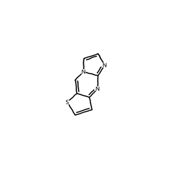 c1cn2cc3sccc3nc2n1